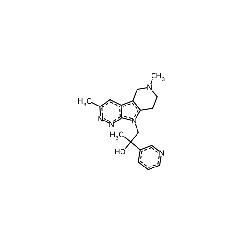 Cc1cc2c3c(n(CC(C)(O)c4cccnc4)c2nn1)CCN(C)C3